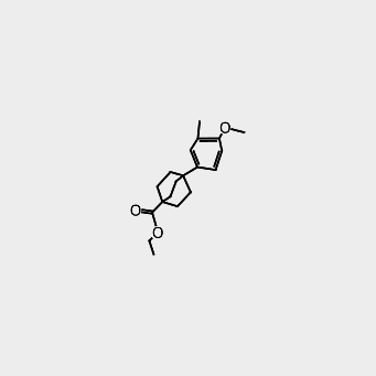 CCOC(=O)C12CCC(c3ccc(OC)c(C)c3)(CC1)CC2